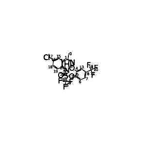 CC(=NOc1cccc(C(F)(F)F)c1)c1cc(Cl)ccc1NS(=O)(=O)C(F)(F)F